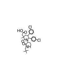 CCC(C(=O)NCC(C)(C)C)N1C(=O)C(C)(CC(=O)O)CC(c2cccc(Cl)c2)C1c1ccc(Cl)cc1